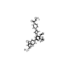 C=CC(=O)N1CCN(C2CN(c3cc(N4CCC5(CC4)O[C@@H](C)C=C5Cl)nc(C(F)(F)F)c3C#N)C2)CC1